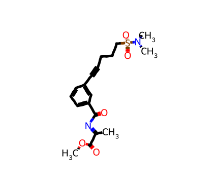 COC(=O)/C(C)=N/C(=O)c1cccc(C#CCCCS(=O)(=O)N(C)C)c1